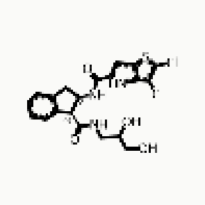 O=C(N[C@@H]1Cc2ccccc2[C@@H]1C(=O)NCC(O)CO)c1cc2sc(Cl)c(Cl)c2[nH]1